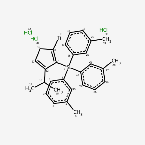 Cc1cccc([Si](C2=[C]([Ti])CC=C2C(C)C)(c2cccc(C)c2)c2cccc(C)c2)c1.Cl.Cl.Cl